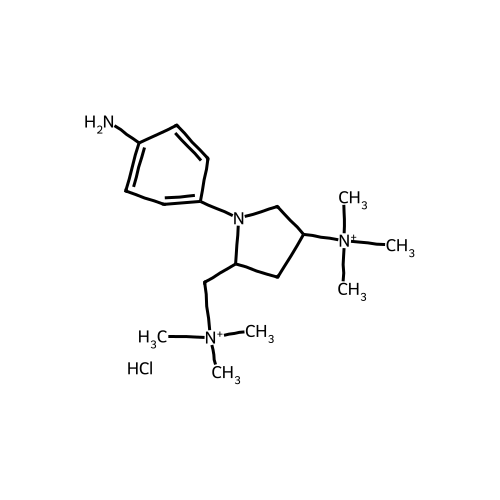 C[N+](C)(C)CC1CC([N+](C)(C)C)CN1c1ccc(N)cc1.Cl